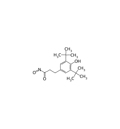 CC(C)(C)c1cc(CCC(=O)N=O)cc(C(C)(C)C)c1O